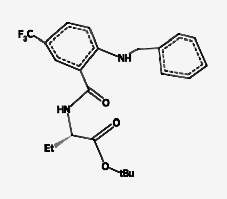 CC[C@H](NC(=O)c1cc(C(F)(F)F)ccc1NCc1ccccc1)C(=O)OC(C)(C)C